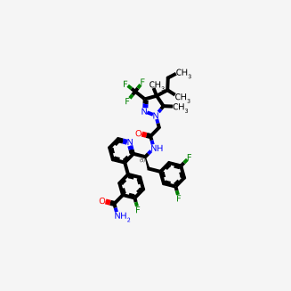 CCC(C)C1(C)C(C(F)(F)F)=NN(CC(=O)N[C@@H](Cc2cc(F)cc(F)c2)c2ncccc2-c2ccc(F)c(C(N)=O)c2)C1C